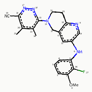 COc1cccc(Nc2cnc3c(c2)CN(c2nnc(C#N)c(C)c2C)CC3)c1F